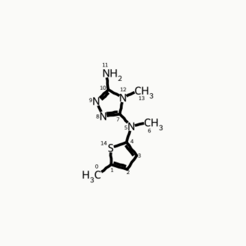 Cc1ccc(N(C)c2nnc(N)n2C)s1